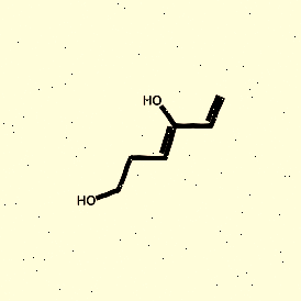 C=CC(O)=CCCO